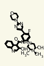 C[C@@H]1CN(c2cc(F)c(-c3cnc(N4CCOCC4)nc3)cc2NC(=O)c2c(O)cnc3ccccc23)C[C@H](C)N1C